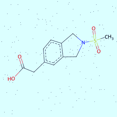 CS(=O)(=O)N1Cc2ccc(CC(=O)O)cc2C1